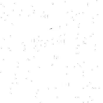 CCCCN[C@H](C=O)[C@@H](O)[C@H](O)[C@H](O)CO